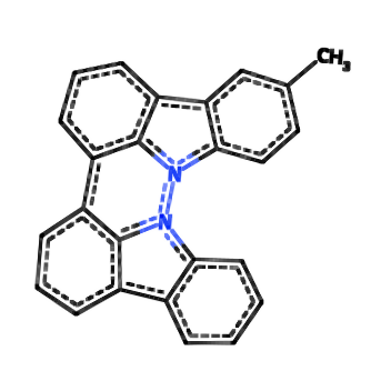 Cc1ccc2c(c1)c1cccc3c4cccc5c6ccccc6n(c54)n2c13